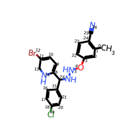 Cc1cc(ONNC(C2=CC=C(Br)CN2)c2ccc(Cl)cc2)ccc1C#N